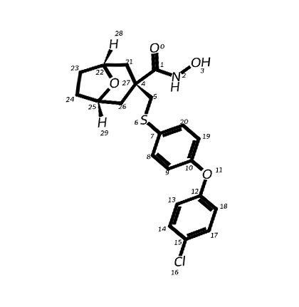 O=C(NO)[C@@]1(CSc2ccc(Oc3ccc(Cl)cc3)cc2)C[C@H]2CC[C@@H](C1)O2